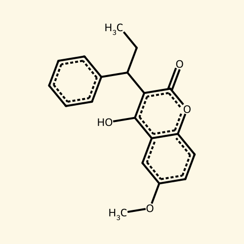 CCC(c1ccccc1)c1c(O)c2cc(OC)ccc2oc1=O